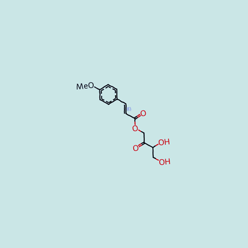 COc1ccc(/C=C/C(=O)OCC(=O)C(O)CO)cc1